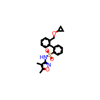 Cc1onc(NS(=O)(=O)c2ccccc2-c2ccccc2COC2CC2)c1C